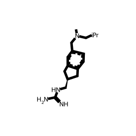 CC(C)CN(C)Cc1ccc2c(c1)C[C@H](CNC(=N)N)C2